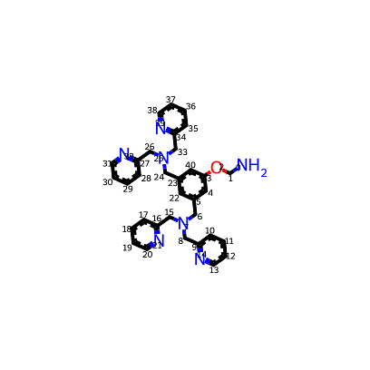 NCOc1cc(CN(Cc2ccccn2)Cc2ccccn2)cc(CN(Cc2ccccn2)Cc2ccccn2)c1